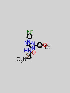 CCOc1ccc(-c2nc(NC(=O)c3ccc([N+](=O)[O-])s3)c3cnn(C4CCC(F)(F)CC4)c3n2)cc1